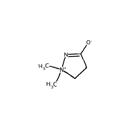 C[N+]1(C)CCC([O-])=N1